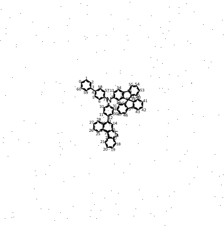 c1ccc(-c2ccc(N(c3ccc(-c4cc5sc6ccccc6c5c5ccccc45)cc3)c3ccc4c(c3)C3(c5ccccc5-c5ccccc53)c3ccccc3-4)cc2)cc1